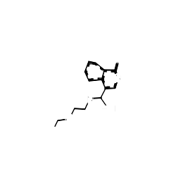 CCOCCNC(C)c1c[nH]c(=O)c2ccccc12.Cl